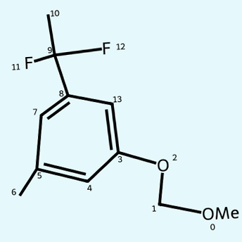 COCOc1cc(C)cc(C(C)(F)F)c1